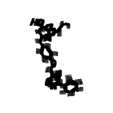 CCCON=C(CC(=O)O)Cc1ccc(OCc2nc(-c3ccccc3)no2)cc1